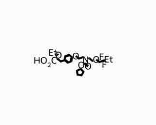 CCOC(Cc1ccc(OCCN(CCOCC(F)(F)CC)C(=O)OC2CCCC2)cc1)C(=O)O